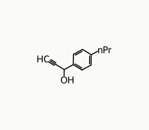 C#CC(O)c1ccc(CCC)cc1